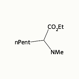 CCCCCC(NC)C(=O)OCC